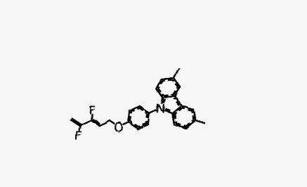 C=C(F)/C(F)=C/COc1ccc(-n2c3ccc(C)cc3c3cc(C)ccc32)cc1